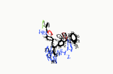 C=C(F)C(=O)Nc1ccc(-c2nn3ncnc(N)c3c2-c2ccc(C(=O)Nc3ccccc3)c(OC)c2)cc1